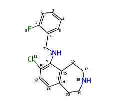 Fc1ccccc1CNc1c(Cl)ccc2c1CCNCC2